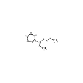 CCCCC(CC)c1cc[c]cc1